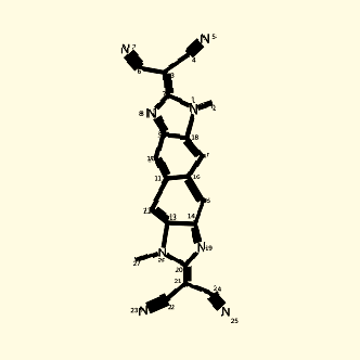 Cn1c(=C(C#N)C#N)nc2cc3cc4c(cc3cc21)nc(=C(C#N)C#N)n4C